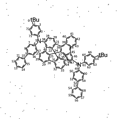 CC(C)(C)c1ccc(N(c2ccc(-c3ccccc3)cc2)c2ccc3c(c2)C2(c4ccccc4-c4ccccc42)c2c-3c3ccccc3c3cc(N(c4ccc(-c5ccccc5)cc4)c4ccc(C(C)(C)C)cc4)ccc23)cc1